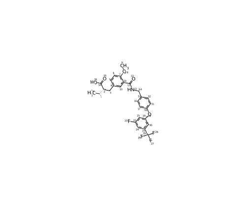 CC[C@@H](Cc1ccc(OC)c(C(=O)NCc2ccc(Oc3cc(F)cc(C(F)(F)F)c3)cc2)c1)C(=O)O